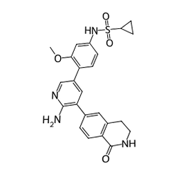 COc1cc(NS(=O)(=O)C2CC2)ccc1-c1cnc(N)c(-c2ccc3c(c2)CCNC3=O)c1